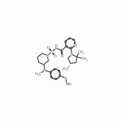 C[C@@H]1CN(c2ncccc2C(=O)NS(=O)(=O)N2CCCC(N(C)c3ccc(OC(C)(C)C)cc3)C2)C(C)(C)C1